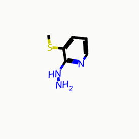 CSc1cccnc1NN